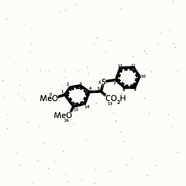 COc1ccc(C(Sc2ccccc2)C(=O)O)cc1OC